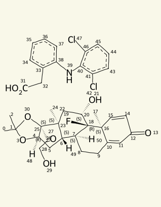 CC1(C)O[C@@H]2C[C@H]3[C@@H]4CCC5=CC(=O)C=C[C@]5(C)[C@@]4(F)[C@@H](O)C[C@]3(C)[C@]2(C(=O)CO)O1.O=C(O)Cc1ccccc1Nc1c(Cl)cccc1Cl